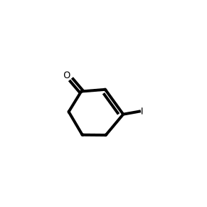 O=C1C=C(I)CCC1